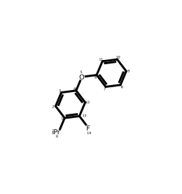 CC(C)c1ccc(Oc2ccccc2)cc1F